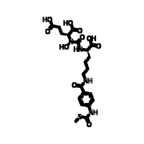 CSC(=O)Nc1ccc(C(=O)NCCCC[C@H](NC(=O)N(O)[C@@H](CCC(=O)O)C(=O)O)C(=O)O)cc1